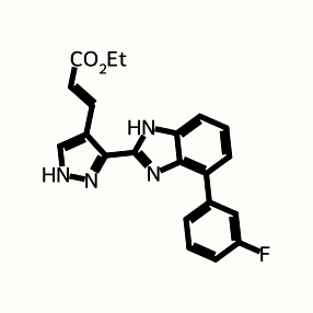 CCOC(=O)/C=C/c1c[nH]nc1-c1nc2c(-c3cccc(F)c3)cccc2[nH]1